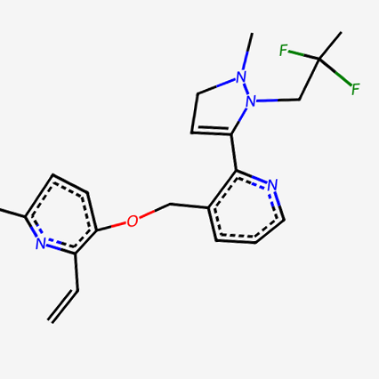 C=Cc1nc(C)ccc1OCc1cccnc1C1=CCN(C)N1CC(C)(F)F